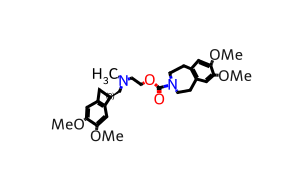 COc1cc2c(cc1OC)CCN(C(=O)OCCN(C)C[C@@H]1Cc3cc(OC)c(OC)cc31)CC2